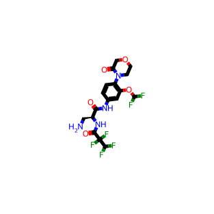 NC[C@H](NC(=O)C(F)(F)C(F)F)C(=O)Nc1ccc(N2CCOCC2=O)c(OC(F)F)c1